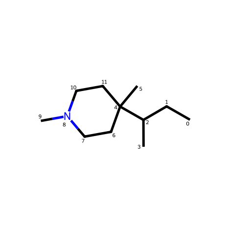 CCC(C)C1(C)CCN(C)CC1